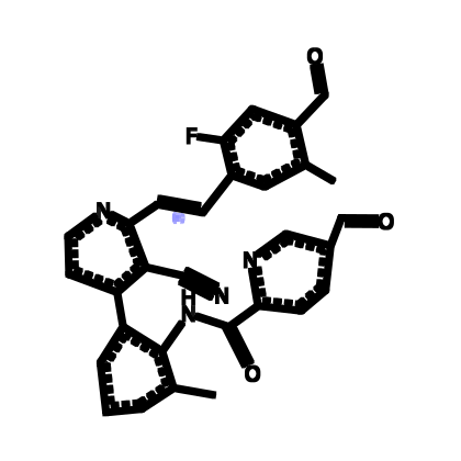 Cc1cc(/C=C/c2nccc(-c3cccc(C)c3NC(=O)c3ccc(C=O)cn3)c2C#N)c(F)cc1C=O